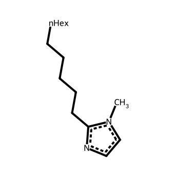 CCCCCCCCCCCc1nccn1C